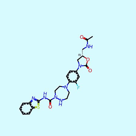 CC(=O)NC[C@H]1CN(c2ccc(N3CCNN(C(=O)Nc4nc5ccccc5s4)CC3)c(F)c2)C(=O)O1